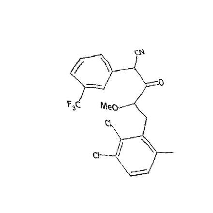 COC(Cc1c(C)ccc(Cl)c1Cl)C(=O)C(C#N)c1cccc(C(F)(F)F)c1